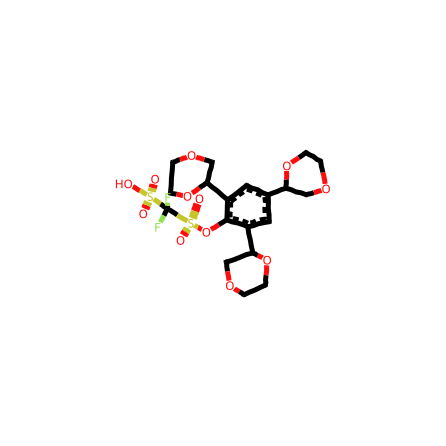 O=S(=O)(O)C(F)(F)S(=O)(=O)Oc1c(C2COCCO2)cc(C2COCCO2)cc1C1COCCO1